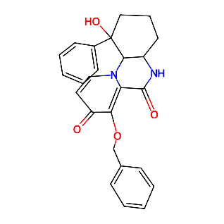 O=C1NC2CCCC(O)(c3ccccc3)C2n2ccc(=O)c(OCc3ccccc3)c21